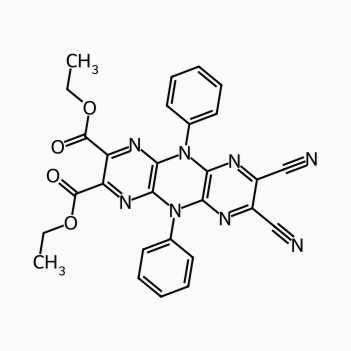 CCOC(=O)c1nc2c(nc1C(=O)OCC)N(c1ccccc1)c1nc(C#N)c(C#N)nc1N2c1ccccc1